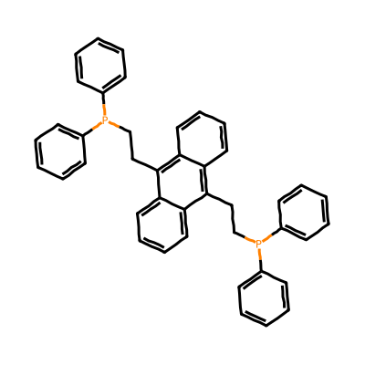 c1ccc(P(CCc2c3ccccc3c(CCP(c3ccccc3)c3ccccc3)c3ccccc23)c2ccccc2)cc1